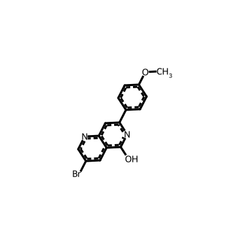 COc1ccc(-c2cc3ncc(Br)cc3c(O)n2)cc1